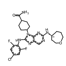 NC(=O)C1CCC(n2c(Nc3c(F)cc(Cl)cc3F)nc3cnc(N[C@H]4CCCOCC4)nc32)CC1